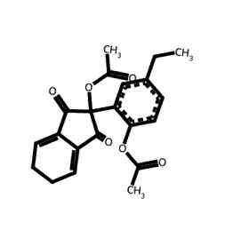 CCc1ccc(OC(C)=O)c(C2(OC(C)=O)C(=O)C3=CCCC=C3C2=O)c1